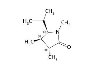 CC(C)[C@@H]1[C@H](C)[C@@H](C)C(=O)N1C